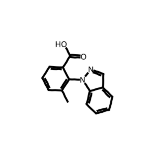 Cc1cccc(C(=O)O)c1-n1ncc2ccccc21